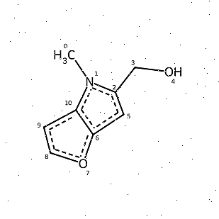 Cn1c(CO)cc2occc21